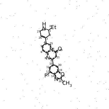 CCC1CC(c2ccc3nc(-c4cc(F)c5nc(C)oc5c4)cc(=O)n3c2)=CCN1